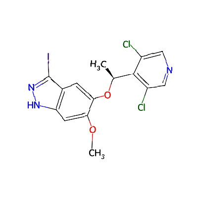 COc1cc2[nH]nc(I)c2cc1O[C@@H](C)c1c(Cl)cncc1Cl